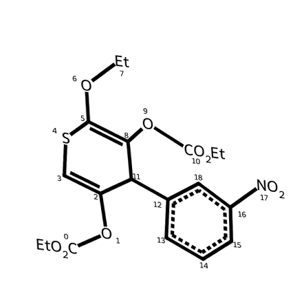 CCOC(=O)OC1=CSC(OCC)=C(OC(=O)OCC)C1c1cccc([N+](=O)[O-])c1